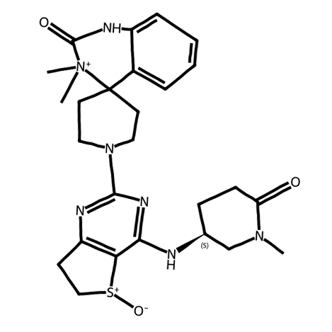 CN1C[C@@H](Nc2nc(N3CCC4(CC3)c3ccccc3NC(=O)[N+]4(C)C)nc3c2[S+]([O-])CC3)CCC1=O